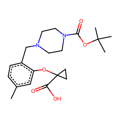 Cc1ccc(CN2CCN(C(=O)OC(C)(C)C)CC2)c(OC2(C(=O)O)CC2)c1